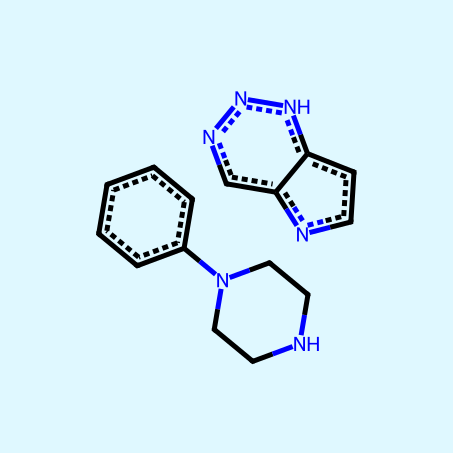 c1cc2[nH]nncc-2n1.c1ccc(N2CCNCC2)cc1